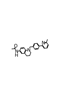 CC(=O)Nc1ccc2c(c1)CCCN2Cc1ccc(-c2cccc(C)n2)cc1